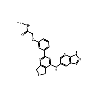 CC(C)(C)NC(=O)COc1cccc(-c2nc3c(c(Nc4cnc5[nH]ncc5c4)n2)COC3)c1